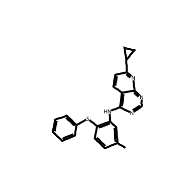 Cc1ccc(Sc2ccccc2)c(Nc2ncnc3nc(C4CC4)ccc23)c1